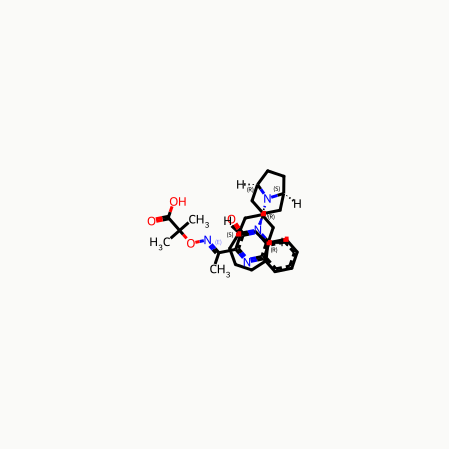 C/C(=N\OC(C)(C)C(=O)O)c1nc2ccccc2n([C@H]2C[C@H]3CC[C@@H](C2)N3[C@@H]2C[C@@H]3CCCC[C@@H](C3)C2)c1=O